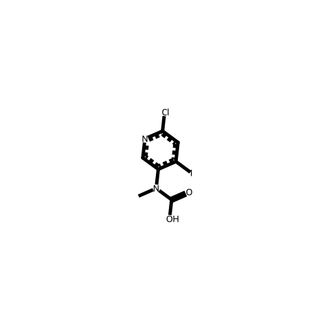 CN(C(=O)O)c1cnc(Cl)cc1I